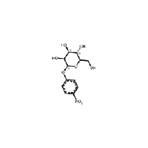 O=[N+]([O-])c1ccc(O[C@@H]2OC(CO)[C@@H](O)[C@H](O)C2O)cc1